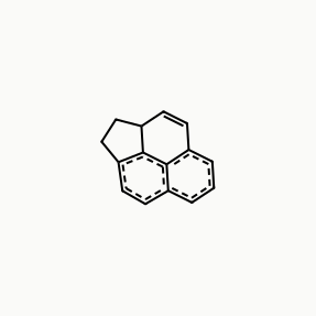 C1=CC2CCc3ccc4cccc1c4c32